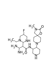 CCN1CC(F)CNC1C(C(=O)NC1CNCCC1N1CCC2(CC1)CN(C)C(=O)O2)C(N)N